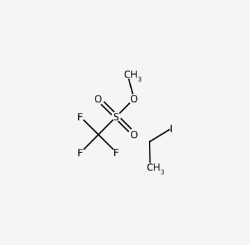 CCI.COS(=O)(=O)C(F)(F)F